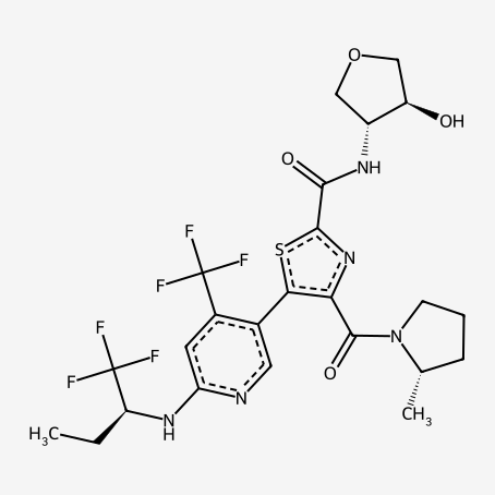 CC[C@H](Nc1cc(C(F)(F)F)c(-c2sc(C(=O)N[C@@H]3COC[C@H]3O)nc2C(=O)N2CCC[C@@H]2C)cn1)C(F)(F)F